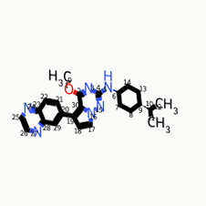 COc1nc(N[C@H]2CC[C@@H](C(C)C)CC2)nn2ccc(-c3ccc4nccnc4c3)c12